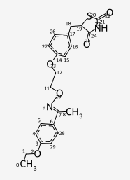 CCOc1ccc(C(C)=NOCCOc2ccc(CC3SC(=O)NC3=O)cc2)cc1